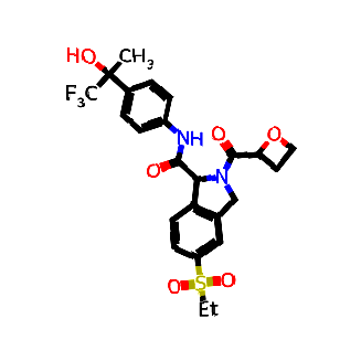 CCS(=O)(=O)c1ccc2c(c1)CN(C(=O)C1CCO1)C2C(=O)Nc1ccc(C(C)(O)C(F)(F)F)cc1